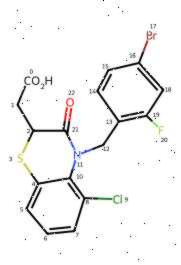 O=C(O)CC1Sc2cccc(Cl)c2N(Cc2ccc(Br)cc2F)C1=O